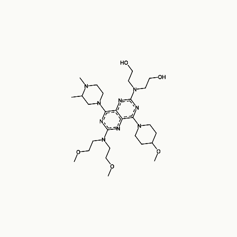 COCCN(CCOC)c1nc(N2CCN(C)C(C)C2)c2nc(N(CCO)CCO)nc(N3CCC(OC)CC3)c2n1